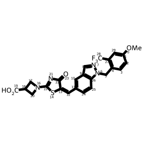 COc1ccc(Cn2ncc3cc(C=C4SC(N5CC(C(=O)O)C5)=NC4=O)ccc32)c(C(F)(F)F)c1